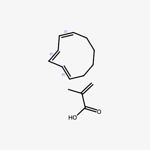 C1=C\CCCC/C=C/C=C/1.C=C(C)C(=O)O